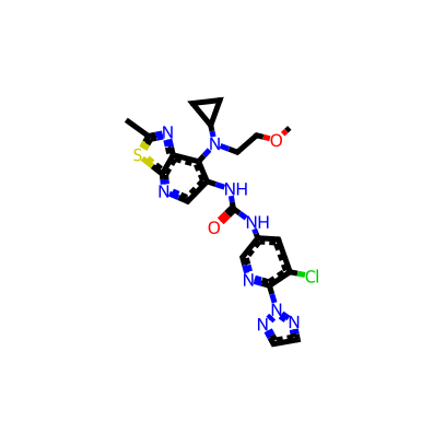 COCCN(c1c(NC(=O)Nc2cnc(-n3nccn3)c(Cl)c2)cnc2sc(C)nc12)C1CC1